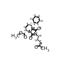 COC(=O)[C@@H]1C=C[C@H](c2ccccc2)n2c(=O)n(CCSC(C)=O)c(=O)n21